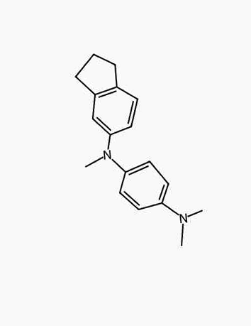 CN(C)c1ccc(N(C)c2ccc3c(c2)CCC3)cc1